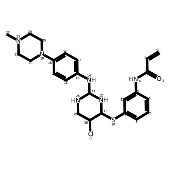 C=CC(=O)Nc1cccc(SC2NC(Nc3ccc(N4CCN(C)CC4)cc3)NCC2Cl)c1